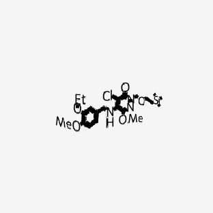 CCOc1cc(CNc2c(OC)nn(COCC[Si](C)(C)C)c(=O)c2Cl)ccc1OC